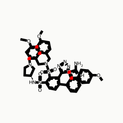 COc1ccc(CN(Cc2ccc(OC)cc2)S(=O)(=O)c2c(S(=O)(=O)N[C@@H]3CCN(C)C3)ccc(-c3cccc4[nH]c(N)nc34)c2-c2nnnn2Cc2ccc(OC)cc2)cc1